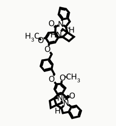 COc1cc2c(cc1OCc1cccc(COc3cc4c(cc3OC)C(=O)N3c5ccccc5C[C@H]3C35CCC43NC5)c1)C13CCC1(CN3)[C@@H]1Cc3ccccc3N1C2=O